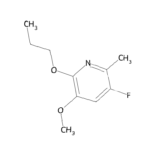 CCCOc1nc(C)c(F)cc1OC